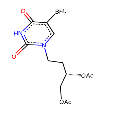 Bc1cn(CC[C@@H](COC(C)=O)OC(C)=O)c(=O)[nH]c1=O